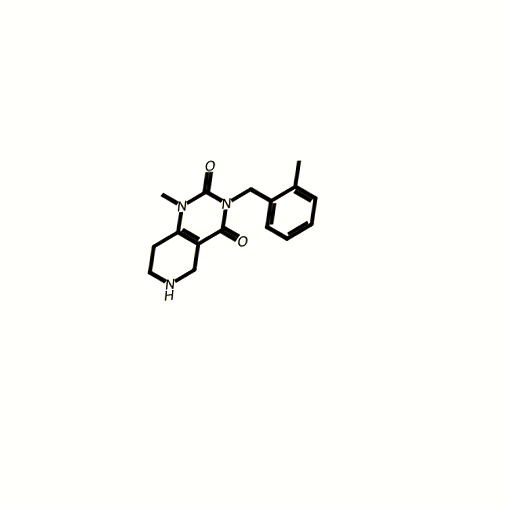 Cc1ccccc1Cn1c(=O)c2c(n(C)c1=O)CCNC2